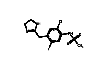 CS(=O)(=O)Nc1cc(F)c(CC2=NCCN2)cc1Cl